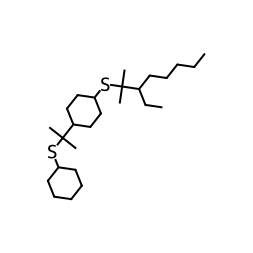 CCCCCC(CC)C(C)(C)SC1CCC(C(C)(C)SC2CCCCC2)CC1